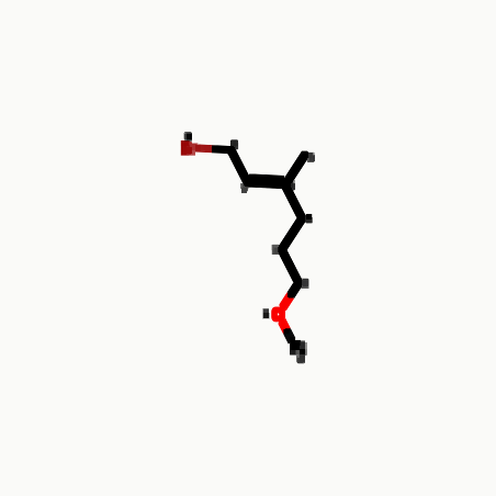 CCOCCCC(C)=CCBr